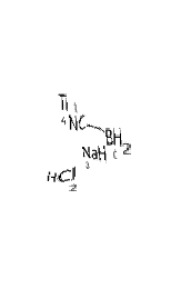 BC#N.Cl.[NaH].[Ti]